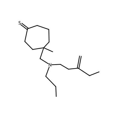 C=C(CC)CCN(CCC)CC1(C)CCCC(=S)CC1